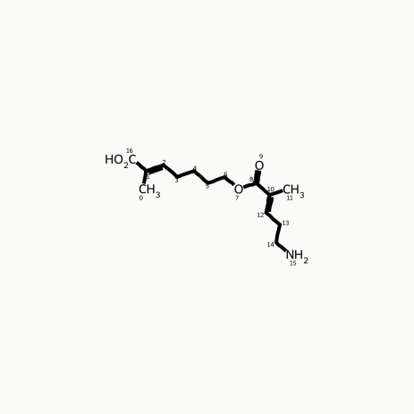 CC(=CCCCCOC(=O)C(C)=CCCN)C(=O)O